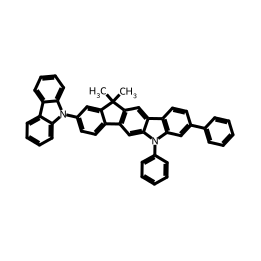 CC1(C)c2cc(-n3c4ccccc4c4ccccc43)ccc2-c2cc3c(cc21)c1ccc(-c2ccccc2)cc1n3-c1ccccc1